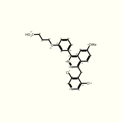 COc1ccc2c(Cc3c(Cl)cncc3Cl)nnc(-c3cccc(OCCCC(=O)O)c3)c2c1